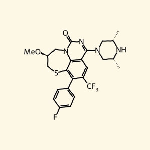 CO[C@@H]1CSc2c(-c3ccc(F)cc3)c(C(F)(F)F)cc3c(N4C[C@@H](C)N[C@@H](C)C4)nc(=O)n(c23)C1